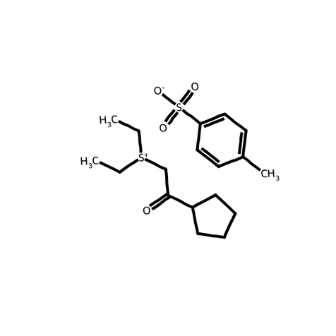 CC[S+](CC)CC(=O)C1CCCC1.Cc1ccc(S(=O)(=O)[O-])cc1